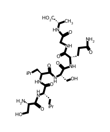 CC(C)C[C@H](NC(=O)[C@H](CC(C)C)NC(=O)[C@@H](N)CO)C(=O)N[C@@H](CO)C(=O)N[C@@H](CCC(N)=O)C(=O)NCC(=O)N[C@@H](C)C(=O)O